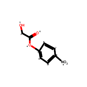 O=C(CO)Oc1ccc([N+](=O)[O-])cc1